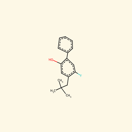 CC(C)(C)Cc1cc(O)c(-c2ccccc2)cc1F